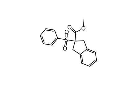 COC(=O)C1(S(=O)(=O)c2ccccc2)Cc2ccccc2C1